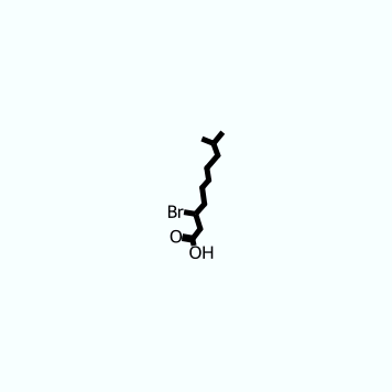 CC(C)CCCCCC(Br)CC(=O)O